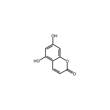 O=c1ccc2c(O)cc(O)cc2o1